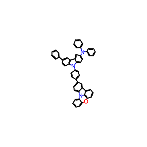 c1ccc(-c2ccc3c(c2)c2cc(N(c4ccccc4)c4ccccc4)ccc2n3-c2ccc(-c3ccc4c(c3)c3cccc5c3n4-c3ccccc3O5)cc2)cc1